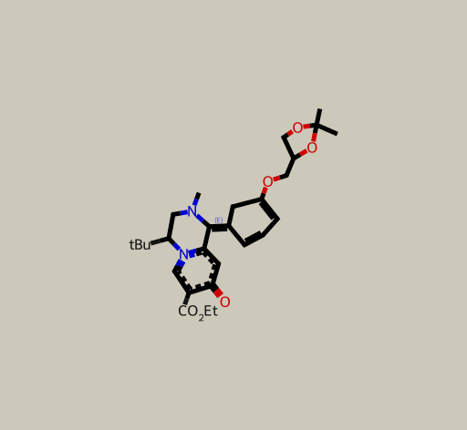 CCOC(=O)c1cn2c(cc1=O)/C(=C1\C=CC=C(OCC3COC(C)(C)O3)C1)N(C)CC2C(C)(C)C